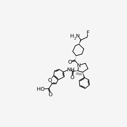 NC(CF)[C@H]1CC[C@H](C(=O)N2CC[C@@H](c3ccccc3)[C@H]2C(=O)Nc2ccc3oc(C(=O)O)cc3c2)CC1